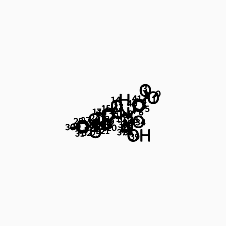 COC(=O)c1ccc(C(NCc2c(OC)cc(C)c3c2ccn3S(=O)(=O)c2ccc(C)cc2)C(=O)N2CC[C@@H]2O)cc1